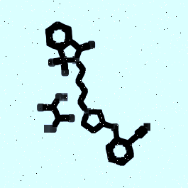 N#Cc1ccccc1OC1CCN(CCCCN2C(=O)c3ccccc3S2(=O)=O)C1.O=C(O)C(=O)O